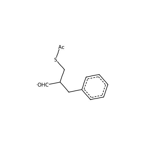 CC(=O)SCC([C]=O)Cc1ccccc1